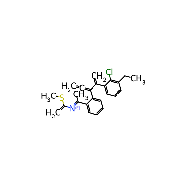 C=C=C(C(=C)c1cccc(CC)c1Cl)c1ccccc1/C(C)=N/C(=C)SC